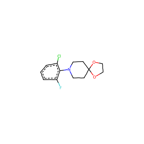 Fc1cccc(Cl)c1N1CCC2(CC1)OCCO2